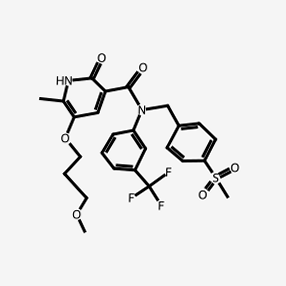 COCCCOc1cc(C(=O)N(Cc2ccc(S(C)(=O)=O)cc2)c2cccc(C(F)(F)F)c2)c(=O)[nH]c1C